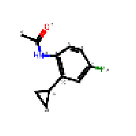 CC(=O)Nc1ccc(F)cc1C1CC1